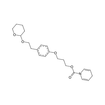 O=C(OCCCOc1ccc(CCOC2CCCCO2)cc1)N1C=CCC=C1